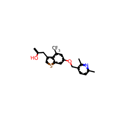 C=C(O)Cc1csc2cc(OCc3ccc(C)nc3C)cc(C(F)(F)F)c12